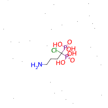 NCCCC(Cl)(P(=O)(O)O)P(=O)(O)O